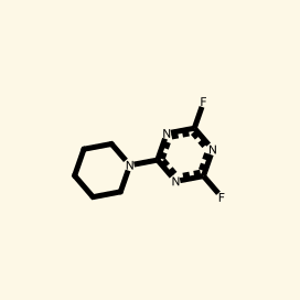 Fc1nc(F)nc(N2CCCCC2)n1